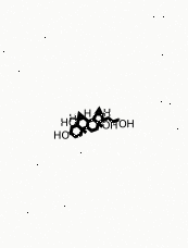 CC12CCC(O)CC1(O)[C@@H]1C[C@@H]1C1C2CCC2(C)C1C1C[C@@H]1[C@@]2(O)CCCO